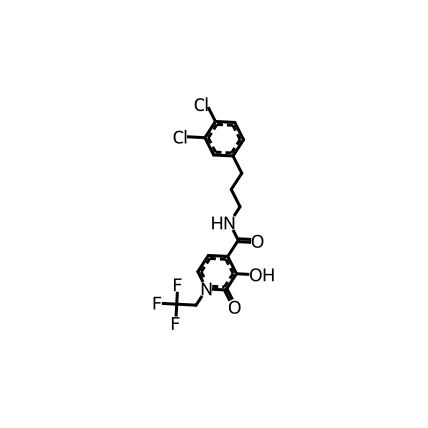 O=C(NCCCc1ccc(Cl)c(Cl)c1)c1ccn(CC(F)(F)F)c(=O)c1O